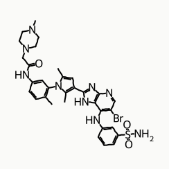 Cc1ccc(NC(=O)CN2CCN(C)CC2)cc1-n1c(C)cc(-c2nc3ncc(Br)c(Nc4cccc(S(N)(=O)=O)c4)c3[nH]2)c1C